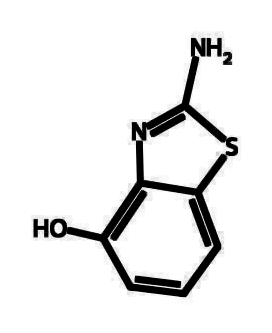 Nc1nc2c(O)cccc2s1